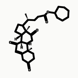 C[C@H](CCC(=O)OC1CCCCCC1)C1CC[C@H]2[C@@H]3C(=O)C=C4CC(=O)CC[C@]4(C)[C@H]3CC(=O)[C@]12C